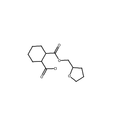 O=C(Cl)C1CCCCC1C(=O)OCC1CCCO1